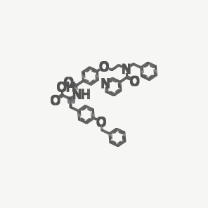 O=C(N[C@@H](Cc1ccc(OCc2ccccc2)cc1)C(=O)O)c1ccc(OCCN(Cc2ccccc2)C(=O)c2cccnc2)cc1